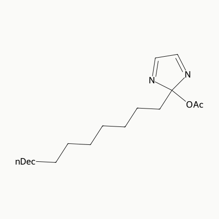 CCCCCCCCCCCCCCCCCC1(OC(C)=O)N=CC=N1